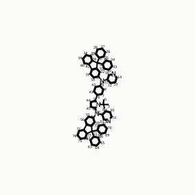 CC(C)(C)n1c(-c2ccc(N(c3cccnc3)c3ccc4c(c3)C(c3ccccc3)(c3ccccc3)c3ccccc3-4)cc2)ccc1N(c1cccnc1)c1ccc2c(c1)C(c1ccccc1)(c1ccccc1)c1ccccc1-2